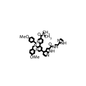 COc1ccc(CN(Cc2ccc(OC)cc2)c2ncc(-c3ccnc4[nH]c(C(=O)NCCc5ncc[nH]5)cc34)cc2-c2ccc(C(=O)N(C)C)cn2)cc1